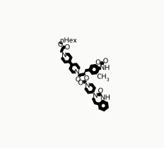 CCCCCCOC(=O)CN1CCC(C2CCN(C(=O)[C@@H](Cc3cc(C)c4[nH]c(=O)oc4c3)OC(=O)N3CCC(N4CCc5ccccc5NC4=O)CC3)CC2)CC1